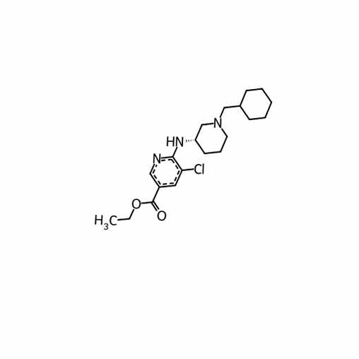 CCOC(=O)c1cnc(N[C@H]2CCCN(CC3CCCCC3)C2)c(Cl)c1